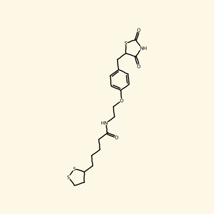 O=C(CCCCC1CCSS1)NCCOc1ccc(CC2SC(=O)NC2=O)cc1